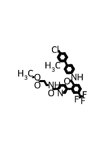 CCOC(=O)CCNC(=O)c1ccc(-c2cc(C(F)(F)F)ccc2C(=O)Nc2ccc(-c3ccc(Cl)cc3C)cc2)cn1